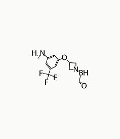 Nc1cc(OC2CN(BC=O)C2)cc(C(F)(F)F)c1